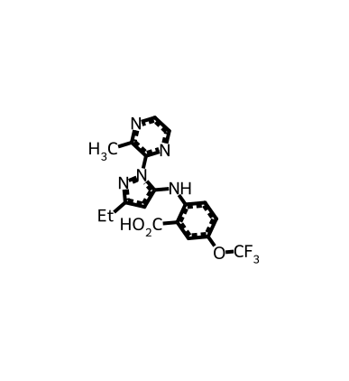 CCc1cc(Nc2ccc(OC(F)(F)F)cc2C(=O)O)n(-c2nccnc2C)n1